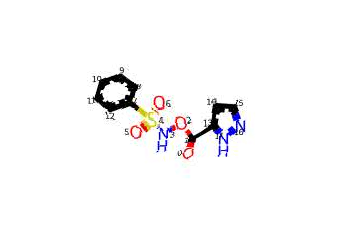 O=C(ONS(=O)(=O)c1ccccc1)c1ccn[nH]1